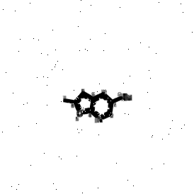 [CH2]CC(C)c1cnc2oc(C)cc2c1